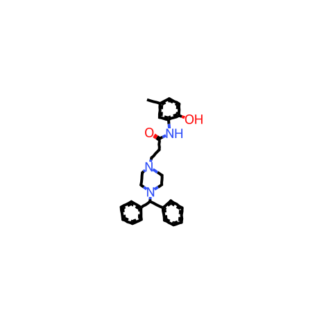 Cc1ccc(O)c(NC(=O)CCN2CCN(C(c3ccccc3)c3ccccc3)CC2)c1